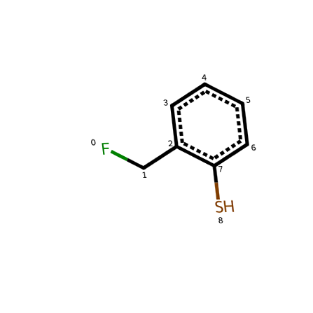 FCc1ccccc1S